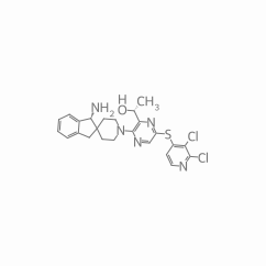 C[C@@H](O)c1nc(Sc2ccnc(Cl)c2Cl)cnc1N1CCC2(CC1)Cc1ccccc1[C@H]2N